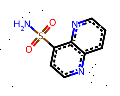 NS(=O)(=O)c1ccnc2cccnc12